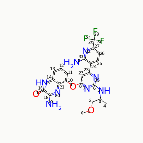 COCC(C)Nc1nc(Oc2cccc3[nH]c(=O)c(N)nc23)cc(-c2ccc(C(F)(F)F)nc2N)n1